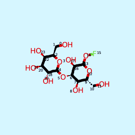 OC[C@H]1OC(O[C@H]2[C@H](O)[C@@H](CO)OC(OF)[C@@H]2O)[C@H](O)[C@@H](O)[C@H]1O